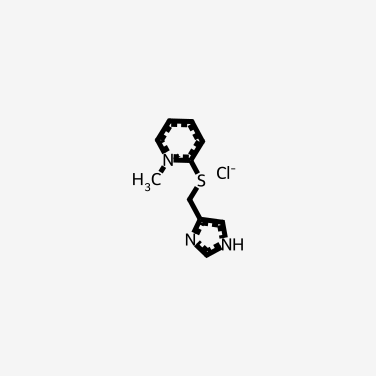 C[n+]1ccccc1SCc1c[nH]cn1.[Cl-]